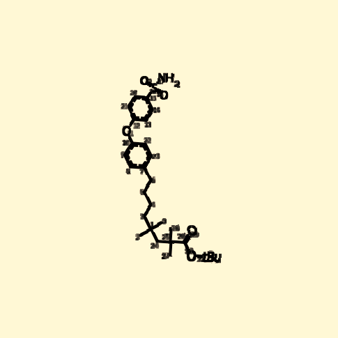 CC(C)(CCCCc1ccc(Oc2ccc(S(N)(=O)=O)cc2)cc1)CC(C)(C)C(=O)OC(C)(C)C